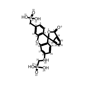 O=C1OC2(c3ccc(CP(=O)(O)O)cc3Oc3cc(NCP(=O)(O)O)ccc32)c2ccccc21